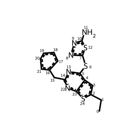 CCc1cc2c(Sc3nnc(N)s3)nc(Cc3ccccc3)nc2s1